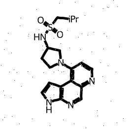 CC(C)CS(=O)(=O)NC1CCN(c2ccnc3cnc4[nH]ccc4c23)C1